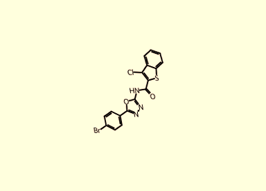 O=C(Nc1nnc(-c2ccc(Br)cc2)o1)c1sc2ccccc2c1Cl